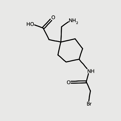 NCC1(CC(=O)O)CCC(NC(=O)CBr)CC1